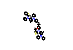 Cc1cc2c3c(c1)N(c1ccc(C(C)(C)Cc4ccc(N5c6ccccc6B6c7sc8ccccc8c7N(c7ccccc7)c7cc(C)cc5c76)cc4)cc1)c1c(C(C)(C)C)csc1B3c1ccccc1N2c1ccccc1